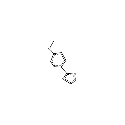 COc1ccc(-c2nncs2)cc1